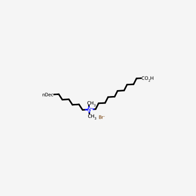 CCCCCCCCCCCCCCCC[N+](C)(C)CCCCCCCCCCC(=O)O.[Br-]